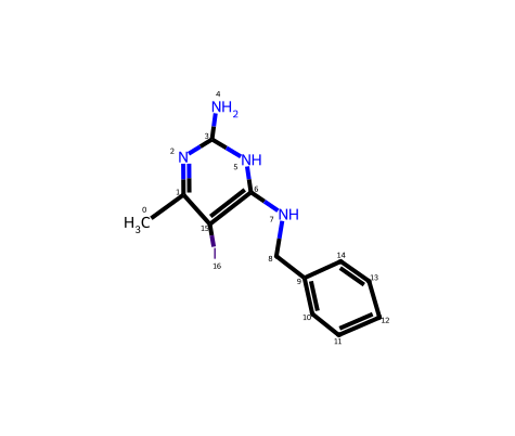 CC1=NC(N)NC(NCc2ccccc2)=C1I